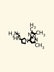 Cc1cc(N2CCC(NSN)C2)c2nc(C)c(C)n2n1